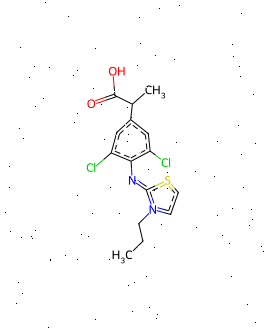 CCCn1ccs/c1=N\c1c(Cl)cc(C(C)C(=O)O)cc1Cl